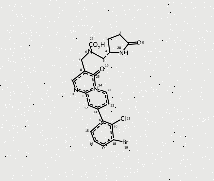 O=C1CCC(CN(Cc2cnc3cc(-c4cccc(Br)c4Cl)ccn3c2=O)C(=O)O)N1